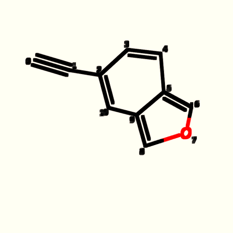 C#Cc1ccc2[c]occ2c1